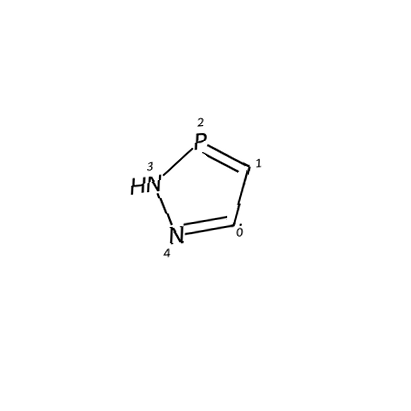 [c]1cp[nH]n1